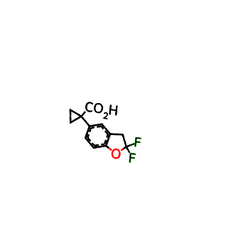 O=C(O)C1(c2ccc3c(c2)CC(F)(F)O3)CC1